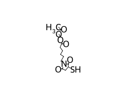 CC(=O)OCOC(=O)CCCCCN1C(=O)CC(S)C1=O